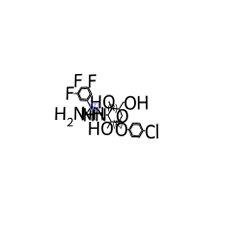 NN/C(=C\NC1C(O)[C@@H](Oc2ccc(Cl)cc2)OC(CO)[C@@H]1O)c1cc(F)c(F)c(F)c1